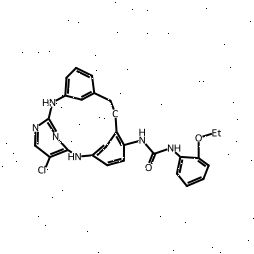 CCOc1ccccc1NC(=O)Nc1ccc2cc1CCc1cccc(c1)Nc1ncc(Cl)c(n1)N2